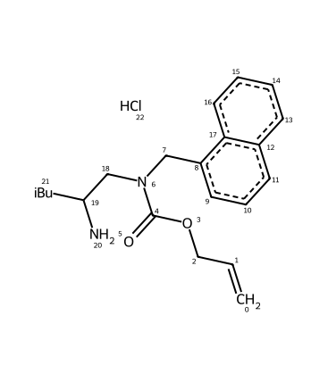 C=CCOC(=O)N(Cc1cccc2ccccc12)CC(N)C(C)CC.Cl